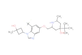 CC1CC(O)(C(C)(C)C)CC(COc2cc(C(F)(F)F)c3c(c2)ncn3C2CC(C)(O)C2)N1